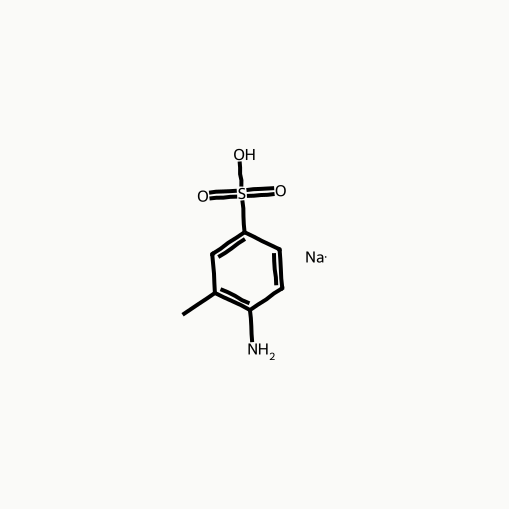 Cc1cc(S(=O)(=O)O)ccc1N.[Na]